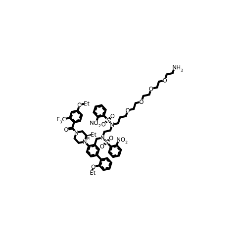 CCOc1ccc(C(=O)N2CCN(c3ccc(-c4ccccc4OCC)cc3CN(CCN(CCCOCCOCCOCCOCCN)S(=O)(=O)c3ccccc3[N+](=O)[O-])S(=O)(=O)c3ccccc3[N+](=O)[O-])[C@H](CC)C2)c(C(F)(F)F)c1